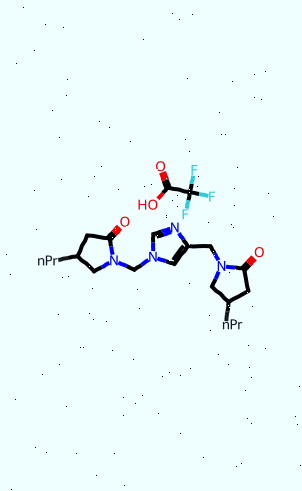 CCCC1CC(=O)N(Cc2cn(CN3CC(CCC)CC3=O)cn2)C1.O=C(O)C(F)(F)F